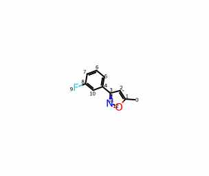 Cc1[c]c(-c2cccc(F)c2)no1